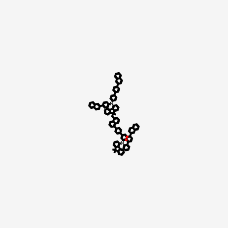 CC1(C)c2ccccc2-c2c(N(c3cccc(-c4ccc(-c5cccc6c(CC7(C)c8ccccc8-c8c(N(c9ccc(-c%10ccc(-c%11ccc%12ccccc%12c%11)cc%10)cc9)c9ccc(-c%10ccc%11ccccc%11c%10)cc9)cccc87)cccc56)cc4)c3)c3ccccc3-c3ccc(-c4ccc5ccccc5c4)cc3)cccc21